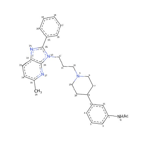 CC(=O)Nc1cccc(C2CCN(CCCn3c(-c4ccccc4)nc4ccc(C)nc43)CC2)c1